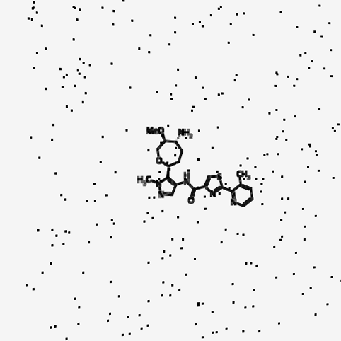 CO[C@@H]1CO[C@H](c2c(NC(=O)c3csc(-c4ncccc4C)n3)cnn2C)CC[C@H]1N